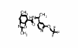 Cc1cc(C(=O)NC(C)c2ccnc(OCC(F)(F)F)c2)c2oc(C)nc2c1